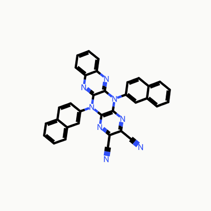 N#Cc1nc2c(nc1C#N)N(c1ccc3ccccc3c1)c1nc3ccccc3nc1N2c1ccc2ccccc2c1